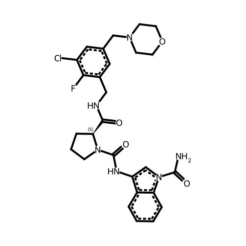 NC(=O)n1cc(NC(=O)N2CCC[C@H]2C(=O)NCc2cc(CN3CCOCC3)cc(Cl)c2F)c2ccccc21